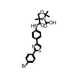 CC1(C)OCC(C)(C(=O)Nc2ccc(-c3csc(-c4ccc(Br)cc4)n3)cc2)N1C(=O)O